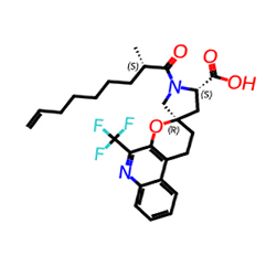 C=CCCCCC[C@H](C)C(=O)N1C[C@@]2(CCc3c(c(C(F)(F)F)nc4ccccc34)O2)C[C@H]1C(=O)O